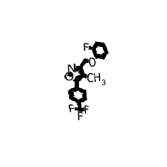 Cc1c(COc2ccccc2F)noc1-c1ccc(C(F)(F)F)cc1